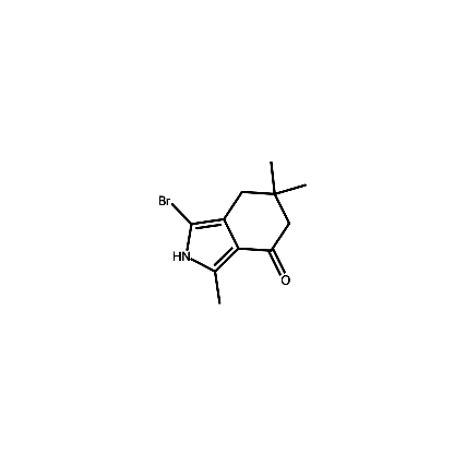 Cc1[nH]c(Br)c2c1C(=O)CC(C)(C)C2